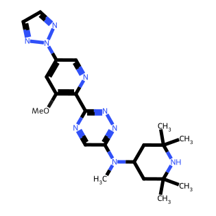 COc1cc(-n2nccn2)cnc1-c1ncc(N(C)C2CC(C)(C)NC(C)(C)C2)nn1